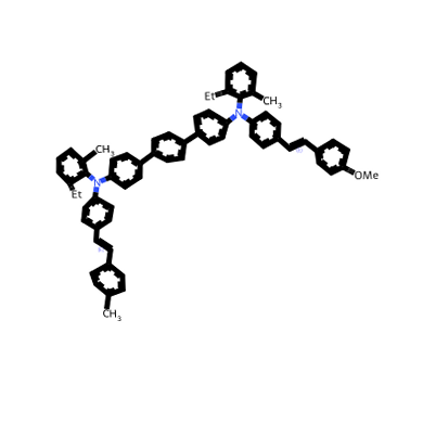 CCc1cccc(C)c1N(c1ccc(/C=C/c2ccc(C)cc2)cc1)c1ccc(-c2ccc(-c3ccc(N(c4ccc(/C=C/c5ccc(OC)cc5)cc4)c4c(C)cccc4CC)cc3)cc2)cc1